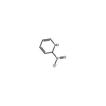 O=[N+]([O-])[C]1C=CC=CN1